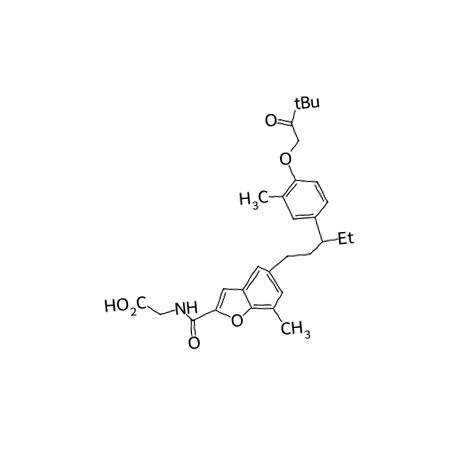 CCC(CCc1cc(C)c2oc(C(=O)NCC(=O)O)cc2c1)c1ccc(OCC(=O)C(C)(C)C)c(C)c1